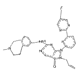 C=CCn1c(=O)c2cnc(Nc3ccc4c(c3)CCN(C)C4)nc2n1-c1cccc(-c2ncc(F)cn2)n1